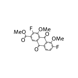 COC(=O)c1cc2c(c(OC)c1F)C(=O)c1c(ccc(F)c1OC)C2=O